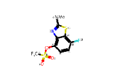 CNc1nc2c(OS(=O)(=O)C(F)(F)F)ccc(F)c2s1